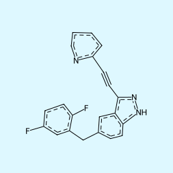 Fc1ccc(F)c(Cc2ccc3[nH]nc(C#Cc4ccccn4)c3c2)c1